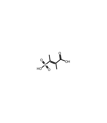 C/C(C(=O)O)=C(/C)S(=O)(=O)O